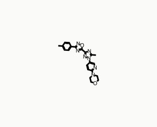 Cc1ccc(-c2noc(-c3nc(C)n(-c4ccc(N5CCOCC5)nc4)n3)n2)cc1